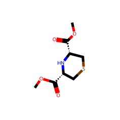 COC(=O)[C@@H]1CSC[C@H](C(=O)OC)N1